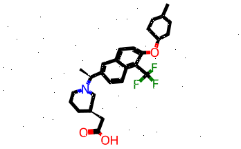 CC1CCC(Oc2ccc3cc([C@H](C)N4CCC[C@H](CC(=O)O)C4)ccc3c2C(F)(F)F)CC1